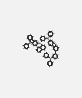 c1ccc(N(c2ccccc2)c2cccc(-c3ccc4sc5cc(N(c6ccccc6)c6cccc(N(c7ccc8c(c7)c7ccccc7n8-c7ccccc7)c7cccc8ccccc78)c6)ccc5c4c3)c2)cc1